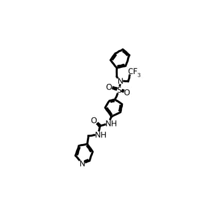 O=C(NCc1ccncc1)Nc1ccc(S(=O)(=O)N(Cc2ccccc2)CC(F)(F)F)cc1